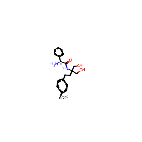 CCCCCCCCc1ccc(CCC(CO)(CO)NC(=O)[C@@H](N)c2ccccc2)cc1